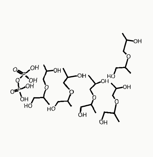 CC(O)COC(C)CO.CC(O)COC(C)CO.CC(O)COC(C)CO.CC(O)COC(C)CO.CC(O)COC(C)CO.O=P(O)(O)OP(=O)(O)O